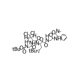 CN(C)C(=O)C(NC(=O)CNC(=O)C(=O)C(CC1CC1)NC(=O)[C@@H]1[C@@H]2[C@H](CN1C(=O)[C@@H](NC(=O)OC(C)(C)C)C(C)(C)C)C2(Cl)Cl)c1ccccc1